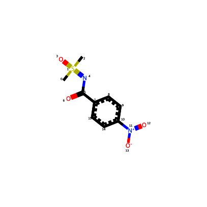 CS(C)(=O)=NC(=O)c1ccc([N+](=O)[O-])cc1